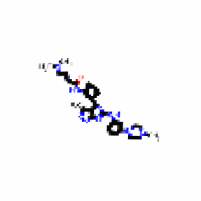 CN(C)C/C=C/C(=O)Nc1cccc(-c2nc(Nc3cccc(N4CCN(C)CC4)c3)nc3[nH]nc(C(F)(F)F)c23)c1